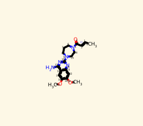 C/C=C/C(=O)N1CCCN(c2nc(N)c3cc(OC)c(OC)cc3n2)CC1